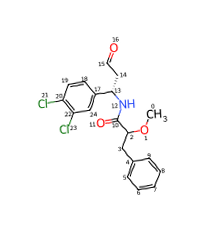 COC(Cc1ccccc1)C(=O)N[C@@H](CC=O)c1ccc(Cl)c(Cl)c1